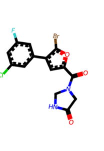 O=C1CN(C(=O)c2cc(-c3cc(F)cc(Cl)c3)c(Br)o2)CN1